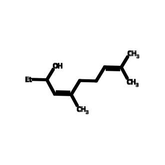 CCC(O)C=C(C)CCC=C(C)C